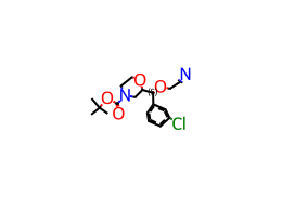 CC(C)(C)OC(=O)N1CCOC([C@@H](OCC#N)c2cccc(Cl)c2)C1